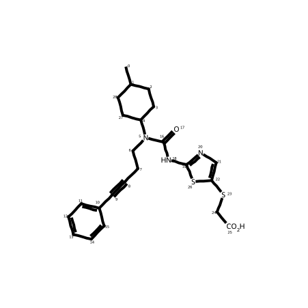 CC1CCC(N(CCC#Cc2ccccc2)C(=O)Nc2ncc(SCC(=O)O)s2)CC1